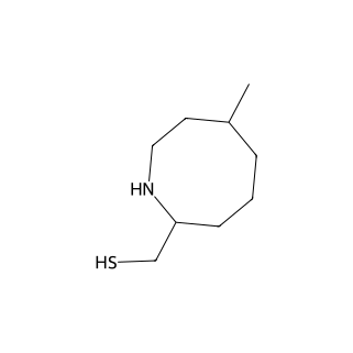 CC1CCCC(CS)NCC1